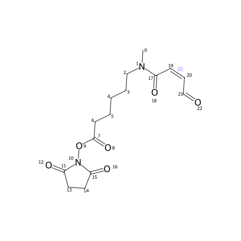 CN(CCCCCC(=O)ON1C(=O)CCC1=O)C(=O)/C=C\C=O